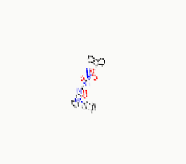 CC(C)C[C@H](NC(=O)[C@H](Cc1ccccc1)NC(=O)CNC(=O)CNC(=O)OCC1c2ccccc2-c2ccccc21)C(=O)O